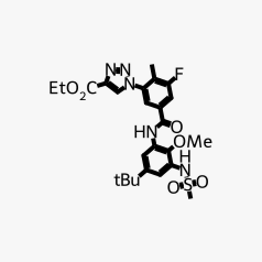 CCOC(=O)c1cn(-c2cc(C(=O)Nc3cc(C(C)(C)C)cc(NS(C)(=O)=O)c3OC)cc(F)c2C)nn1